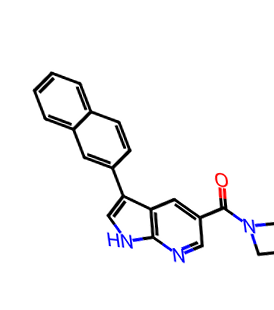 O=C(c1cnc2[nH]cc(-c3ccc4ccccc4c3)c2c1)N1CCC1